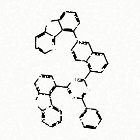 c1ccc(-c2nc(-c3cccc4cc(-c5cccc6oc7cccnc7c56)ccc34)nc(-c3cccc4oc5ccccc5c34)n2)cc1